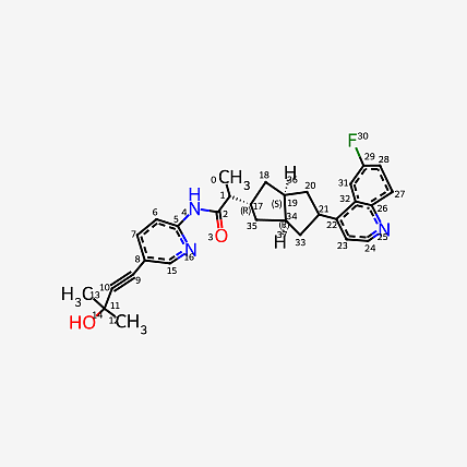 CC(C(=O)Nc1ccc(C#CC(C)(C)O)cn1)[C@@H]1C[C@H]2CC(c3ccnc4ccc(F)cc34)C[C@H]2C1